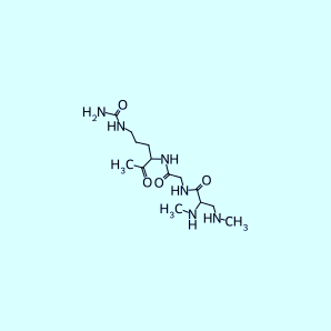 CNCC(NC)C(=O)NCC(=O)NC(CCCNC(N)=O)C(C)=O